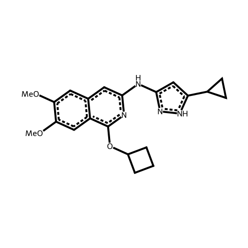 COc1cc2cc(Nc3cc(C4CC4)[nH]n3)nc(OC3CCC3)c2cc1OC